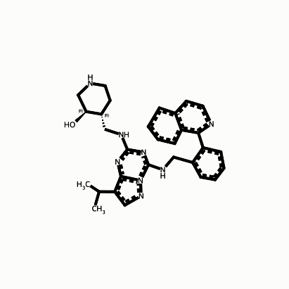 CC(C)c1cnn2c(NCc3ccccc3-c3nccc4ccccc34)nc(NC[C@H]3CCNC[C@@H]3O)nc12